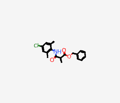 Cc1cc(Cl)cc(C)c1NC(=O)C(C)C(=O)OCc1ccccc1